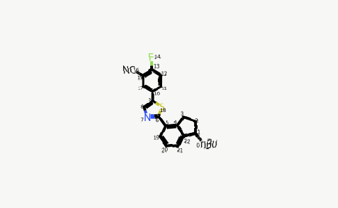 CCCCC1CCc2c(-c3ncc(-c4ccc(F)c(C#N)c4)s3)cccc21